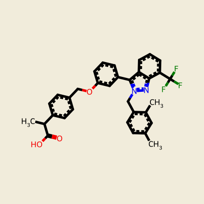 Cc1ccc(Cn2nc3c(C(F)(F)F)cccc3c2-c2cccc(OCc3ccc(C(C)C(=O)O)cc3)c2)c(C)c1